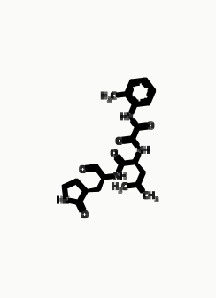 Cc1ccccc1NC(=O)C(=O)N[C@@H](CC(C)C)C(=O)N[C@H](C=O)C[C@@H]1CCNC1=O